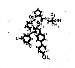 Cc1ncc(-c2ccc(C[C@]3(C)C(=O)N(c4cc(Cl)cc(Cl)c4)c4ncc(S(=O)(=O)N5CCC[C@H]5C(=O)NCC(C)(C)O)n43)cc2)cn1